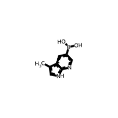 Cc1c[nH]c2ncc(B(O)O)cc12